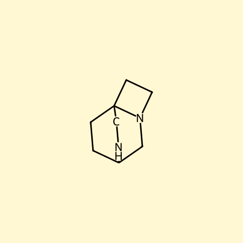 C1CC23CCN2CC1NC3